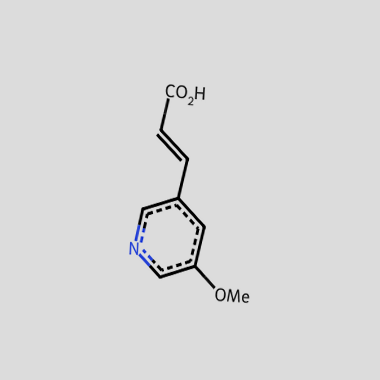 COc1cncc(/C=C/C(=O)O)c1